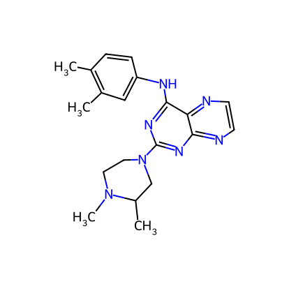 Cc1ccc(Nc2nc(N3CCN(C)C(C)C3)nc3nccnc23)cc1C